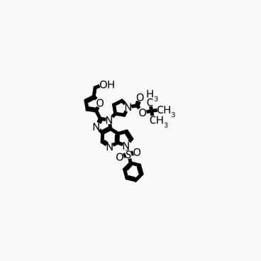 CC(C)(C)OC(=O)N1CCC(n2c(-c3ccc(CO)o3)nc3cnc4c(ccn4S(=O)(=O)c4ccccc4)c32)C1